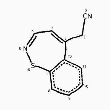 N#CCC1=CC=NSc2ccccc21